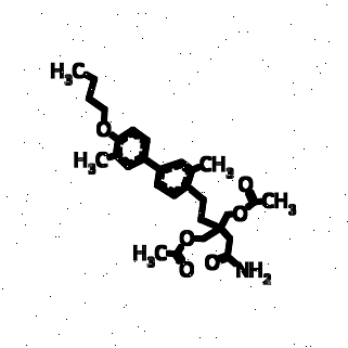 CCCCOc1ccc(-c2ccc(CCC(COC(C)=O)(COC(C)=O)CC(N)=O)c(C)c2)cc1C